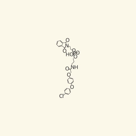 O=C(COc1ccc(Oc2ccc(Cl)cc2)cc1)NCCCOP(=O)(O)OCCN1C(=O)c2ccccc2C1=O